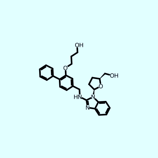 OCCCOc1cc(CNc2nc3ccccc3n2[C@H]2CC[C@@H](CO)O2)ccc1-c1ccccc1